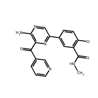 CNC(=O)c1cc(-c2cnc(N)c(C(=O)c3cccnc3)n2)ccc1Cl